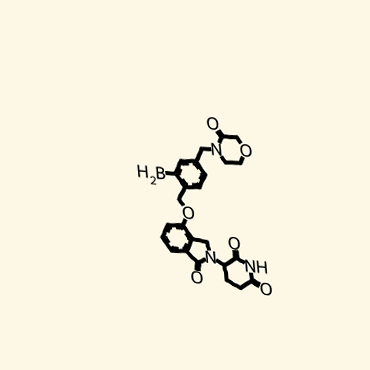 Bc1cc(CN2CCOCC2=O)ccc1COc1cccc2c1CN(C1CCC(=O)NC1=O)C2=O